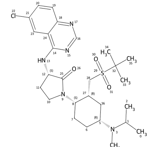 CC(C)N(C)[C@@H]1CC[C@H](N2CC[C@H](Nc3ncnc4ccc(Cl)cc34)C2=O)[C@H](CS(=O)(=O)C(C)(C)C)C1